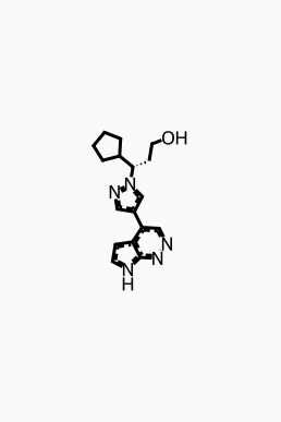 OCC[C@@H](C1CCCC1)n1cc(-c2cnnc3[nH]ccc23)cn1